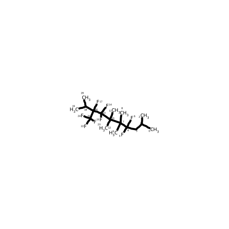 CC(C)CC(F)(F)C(C)(C)C(C)(C)C(F)(F)C(F)(C(C)C)C(F)(F)F